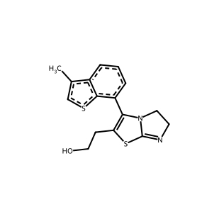 Cc1csc2c(C3=C(CCO)SC4=NCCN43)cccc12